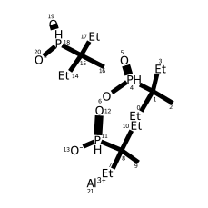 CCC(C)(CC)[PH](=O)[O-].CCC(C)(CC)[PH](=O)[O-].CCC(C)(CC)[PH](=O)[O-].[Al+3]